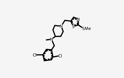 CSc1ncc(CN2CCC(N(C)Cc3cc(Cl)ccc3Cl)CC2)s1